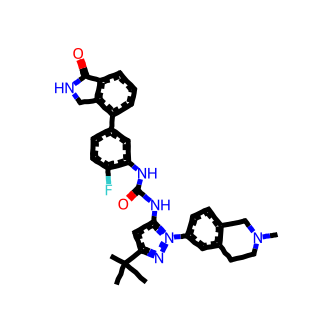 CN1CCc2cc(-n3nc(C(C)(C)C)cc3NC(=O)Nc3cc(-c4cccc5c4CNC5=O)ccc3F)ccc2C1